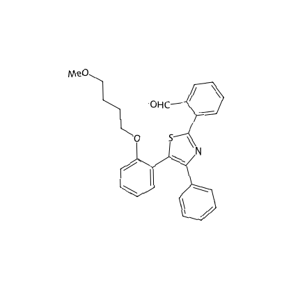 COCCCCOc1ccccc1-c1sc(-c2ccccc2[C]=O)nc1-c1ccccc1